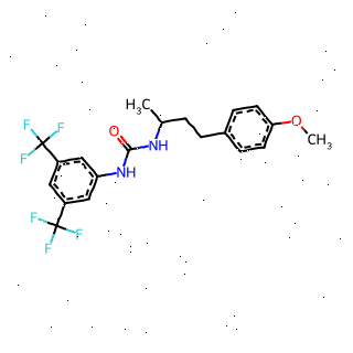 COc1ccc(CCC(C)NC(=O)Nc2cc(C(F)(F)F)cc(C(F)(F)F)c2)cc1